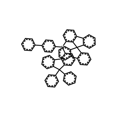 c1ccc(-c2ccc(N(c3cccc4c3-c3ccccc3C4(c3ccccc3)c3ccccc3)c3cccc4c3C3(c5ccccc5-c5ccccc53)c3ccccc3-4)cc2)cc1